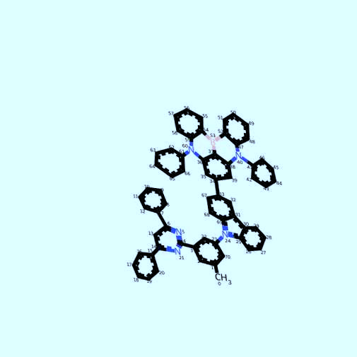 Cc1cc(-c2nc(-c3ccccc3)cc(-c3ccccc3)n2)cc(-n2c3ccccc3c3cc(-c4cc5c6c(c4)N(c4ccccc4)c4ccccc4B6c4ccccc4N5c4ccccc4)ccc32)c1